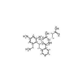 NCc1nc(N)nc(N)c1CCc1ccccc1C(=O)N[C@@H](CCC(=O)O)C(=O)O